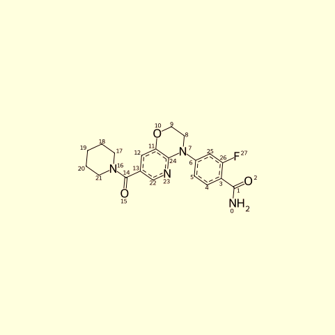 NC(=O)c1ccc(N2CCOc3cc(C(=O)N4CCCCC4)cnc32)cc1F